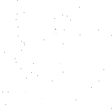 Cc1cccc(C)c1N1c2cc3oc4ccccc4c3cc2B2c3oc4cc5c(cc4c3N(c3ccccc3)c3cc(N(c4ccccc4)c4ccccc4)cc1c32)C(C)(C)CCC5(C)C